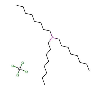 CCCCCCCCP(CCCCCCCC)CCCCCCCC.[Cl][Ge]([Cl])([Cl])[Cl]